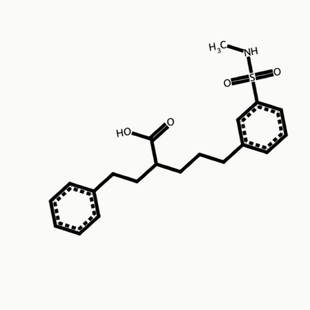 CNS(=O)(=O)c1cccc(CCCC(CCc2ccccc2)C(=O)O)c1